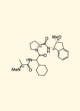 CN[C@@H](C)C(=O)NC(C(=O)N1CCC[C@H]1C(=O)N[C@H]1c2ccccc2C[C@H]1OC)C1CCCCC1